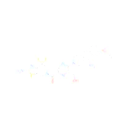 COc1ccc2c(c1)C(N)C1(CCN(c3ncc(C(=O)N4Cc5sc(N)nc5C(F)(F)C4)nc3CO)CC1)C2